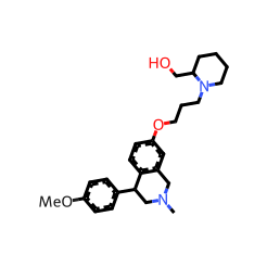 COc1ccc(C2CN(C)Cc3cc(OCCCN4CCCCC4CO)ccc32)cc1